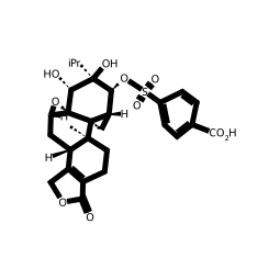 CC(C)[C@]1(O)[C@H](OS(=O)(=O)c2ccc(C(=O)O)cc2)[C@@H]2C[C@]23[C@]2(O[C@H]2C[C@H]2C4=C(CC[C@@]23C)C(=O)OC4)[C@@H]1O